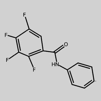 O=C(Nc1cc[c]cc1)c1cc(F)c(F)c(F)c1F